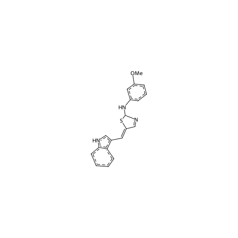 COc1cccc(NC2N=C/C(=C/c3c[nH]c4ccccc34)S2)c1